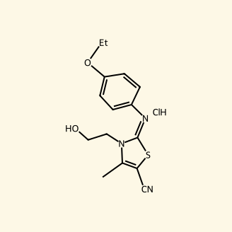 CCOc1ccc(N=c2sc(C#N)c(C)n2CCO)cc1.Cl